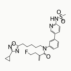 C=C(CCF)C(=O)N(CCCCCc1nc(C2CC2)no1)c1cccc(-c2ccc(NS(C)(=O)=O)nc2)c1